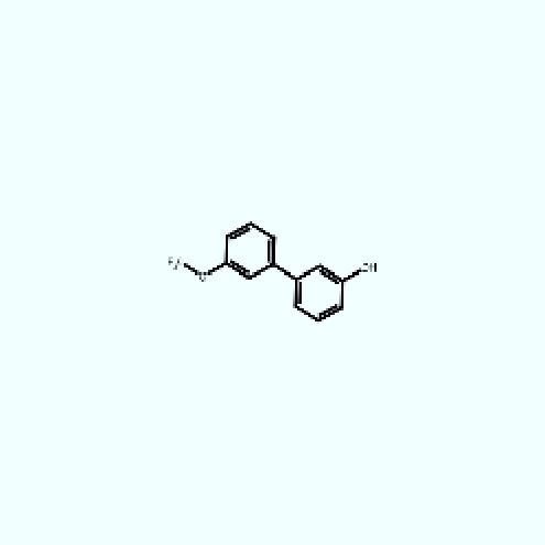 Oc1cccc(-c2cccc(OC(F)(F)F)c2)c1